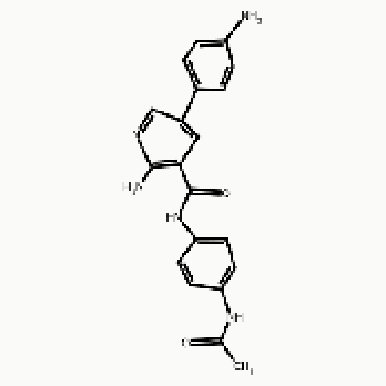 CC(=O)Nc1ccc(NC(=O)c2cc(-c3ccc(N)cc3)cnc2N)cc1